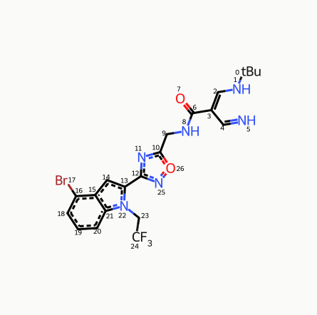 CC(C)(C)N/C=C(\C=N)C(=O)NCc1nc(-c2cc3c(Br)cccc3n2CC(F)(F)F)no1